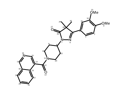 COc1ccc(C2=NN(C3CCN(C(=O)c4cncc5ccccc45)CC3)C(=O)C2(C)C)cc1OC